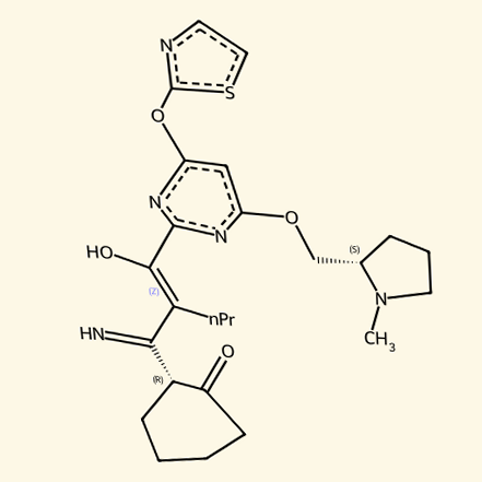 CCC/C(C(=N)[C@H]1CCCCC1=O)=C(/O)c1nc(OC[C@@H]2CCCN2C)cc(Oc2nccs2)n1